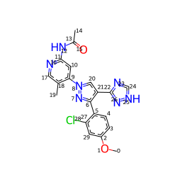 COc1ccc(-c2nn(-c3cc(NC(C)=O)ncc3C)cc2-c2nc[nH]n2)c(Cl)c1